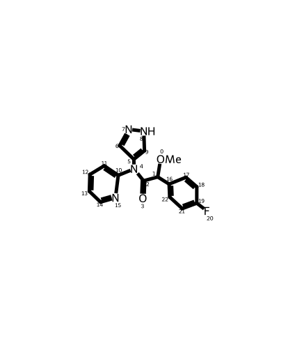 COC(C(=O)N(c1cn[nH]c1)c1ccccn1)c1ccc(F)cc1